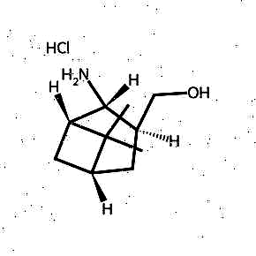 CC1(C)[C@@H]2C[C@H](CO)[C@@H](N)[C@H]1C2.Cl